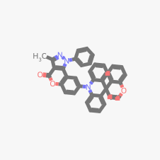 Cc1nn(-c2ccccc2)c2c1c(=O)oc1ccc(N3c4ccccc4C4(c5ccccc5Oc5ccccc54)c4ccccc43)cc12